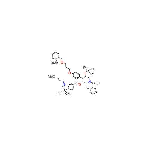 COCCCN1CC(C)(C)c2ccc(CO[C@H]3C(Cc4ccccc4)N(C(=O)O)C[C@@H](O[Si](C(C)C)(C(C)C)C(C)C)[C@@H]3c3ccc(OCCCOCc4ccccc4OC)cc3)cc21